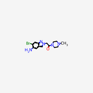 CN1CCN(C(=O)Cn2cc3cc(N)c(Br)cc3n2)CC1